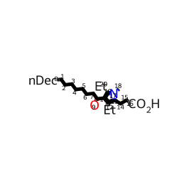 CCCCCCCCCCCCCCCCCC(=O)c1c(CC)c(CCC(=O)O)n(C)c1CC